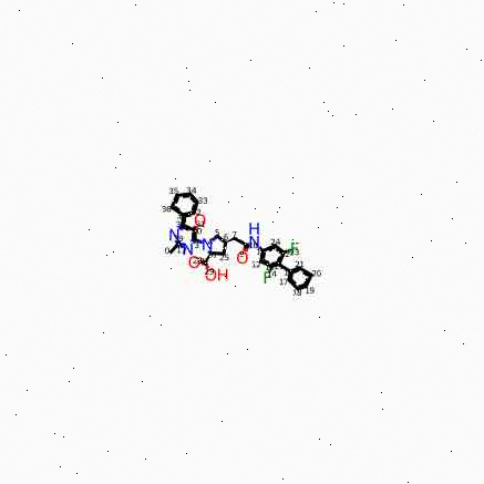 Cc1nc(N2C[C@@H](CC(=O)Nc3cc(F)c(-c4ccccc4)c(F)c3)C[C@H]2C(=O)O)c2oc3ccccc3c2n1